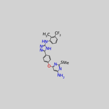 CSc1nc(N)cc(Oc2ccc(-c3nnc(Nc4cccc(C(F)(F)F)c4C)[nH]3)cc2)n1